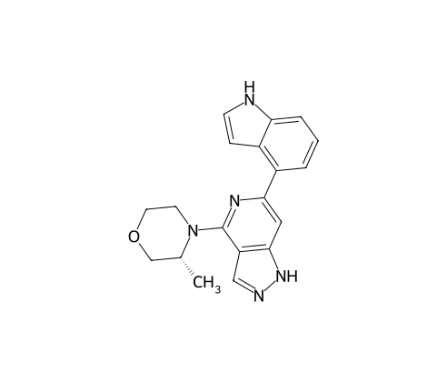 C[C@@H]1COCCN1c1nc(-c2cccc3[nH]ccc23)cc2[nH]ncc12